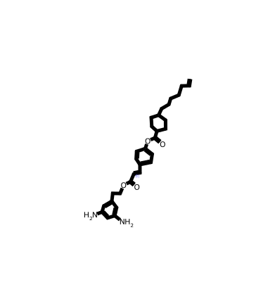 C=CCCCCCC1CCC(C(=O)Oc2ccc(/C=C/C(=O)OCCc3cc(N)cc(N)c3)cc2)CC1